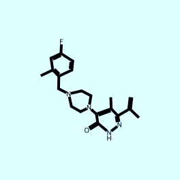 C=C(C)c1n[nH]c(=O)c(N2CCN(Cc3ccc(F)cc3C)CC2)c1C